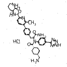 Cc1nc(C(=O)N[C@H]2CCCNC2=O)ccc1-c1ccc(C[C@@H](C(N)=O)N(c2ccc(-c3nn[nH]n3)cc2)C(=O)[C@H]2CC[C@H](CN)CC2)cc1.Cl